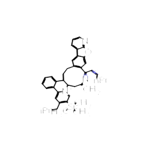 C=C1CC2C(CCc3cc4c(cc3C(/C=C\CCC)=N\1)oc1ncccc14)c1ccccc1-c1cc(CC(C)C)c([Si](C)(C)C)c[n+]12